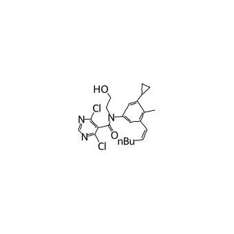 CCCC/C=C\c1cc(N(CCO)C(=O)c2c(Cl)ncnc2Cl)cc(C2CC2)c1C